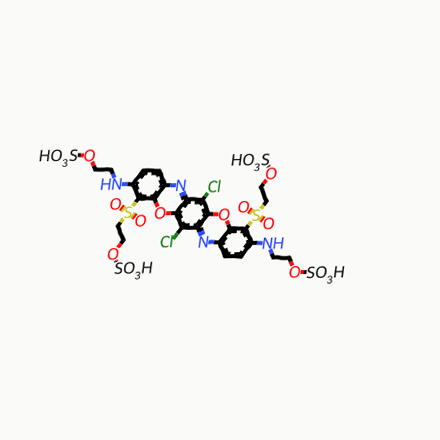 O=S(=O)(O)OCCNc1ccc2c(c1S(=O)(=O)CCOS(=O)(=O)O)Oc1c(Cl)c3c(c(Cl)c1=N2)Oc1c(ccc(NCCOS(=O)(=O)O)c1S(=O)(=O)CCOS(=O)(=O)O)N=3